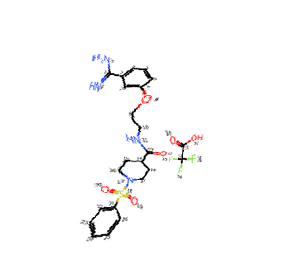 N=C(N)c1cccc(OCCNC(=O)C2CCN(S(=O)(=O)c3ccccc3)CC2)c1.O=C(O)C(F)(F)F